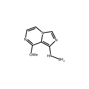 BNc1ncn2ccnc(OC)c12